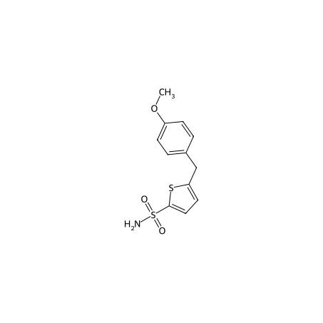 COc1ccc(Cc2ccc(S(N)(=O)=O)s2)cc1